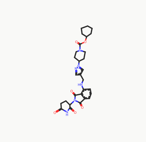 O=C1CCC(N2C(=O)c3cccc(NCc4cnn(C5CCN(C(=O)OC6CCCCC6)CC5)c4)c3C2=O)C(=O)N1